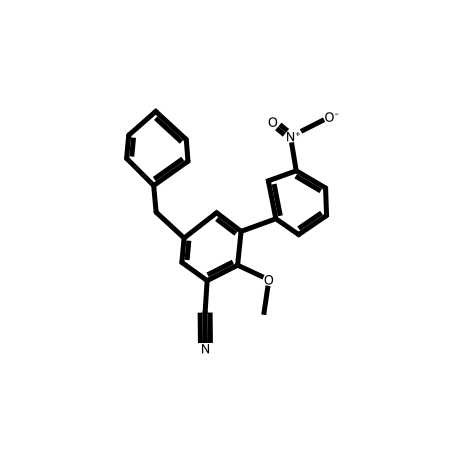 COc1c(C#N)cc(Cc2ccccc2)cc1-c1cccc([N+](=O)[O-])c1